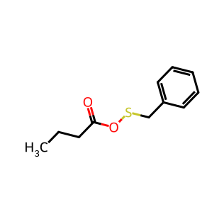 CCCC(=O)OSCc1ccccc1